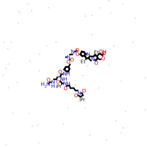 CCc1c2c(nc3ccc(OC(=O)N(C)CCN(C)C(=O)OCc4ccc(NC(=O)[C@H](CCCNC(N)=O)NC(=O)[C@@H](NC(=O)CCCCCN5C(=O)CC(C(C)C)C5=O)C(C)C)cc4)cc13)-c1cc3c(c(=O)n1C2)COC(=O)[C@]3(O)CC